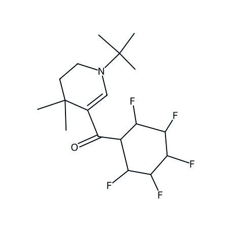 CC1(C)CCN(C(C)(C)C)C=C1C(=O)C1C(F)C(F)C(F)C(F)C1F